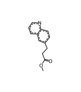 COC(=O)CCc1ccc2ncccc2c1